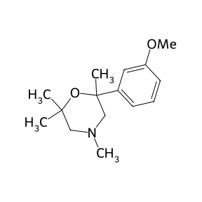 COc1cccc(C2(C)CN(C)CC(C)(C)O2)c1